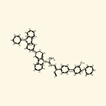 C=C/C(=C\N=C(/N)n1c2c(c3ccccc31)=CC(c1ccc3c(c1)c1ccccc1n3-c1ccccc1)CC=2)c1ccc(-c2ccc(-c3ccccc3)c(F)c2)cc1